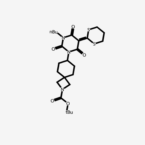 CCCCN1C(=O)C(=C2SCCCS2)C(=O)N(C2CCC3(CC2)CN(C(=O)OC(C)(C)C)C3)C1=O